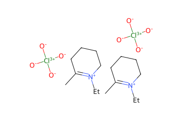 CC[N+]1=C(C)CCCC1.CC[N+]1=C(C)CCCC1.[O-][Cl+3]([O-])([O-])[O-].[O-][Cl+3]([O-])([O-])[O-]